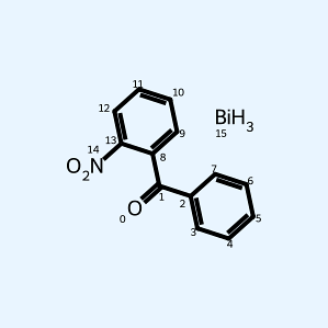 O=C(c1ccccc1)c1ccccc1[N+](=O)[O-].[BiH3]